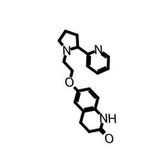 O=C1CCc2cc(OCCN3CCCC3c3ccccn3)ccc2N1